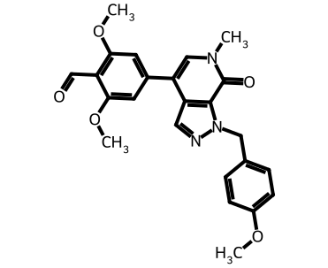 COc1ccc(Cn2ncc3c(-c4cc(OC)c(C=O)c(OC)c4)cn(C)c(=O)c32)cc1